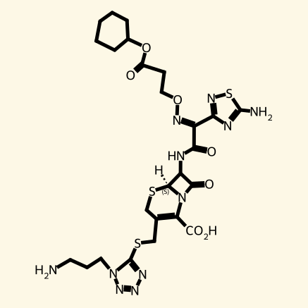 NCCCn1nnnc1SCC1=C(C(=O)O)N2C(=O)C(NC(=O)C(=NOCCC(=O)OC3CCCCC3)c3nsc(N)n3)[C@@H]2SC1